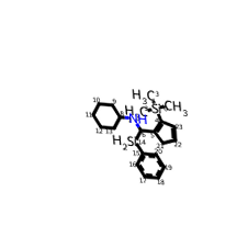 C[Si](C)(C)C1=C(C(NC2CCCCC2)[SiH2]c2ccccc2)CC=C1